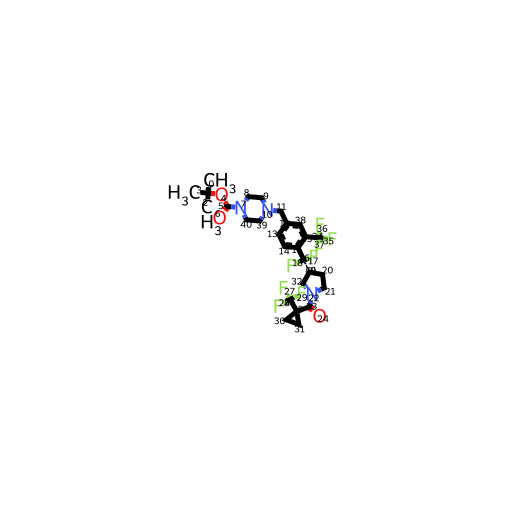 CC(C)(C)OC(=O)N1CCN(Cc2ccc(C(F)(F)[C@@H]3CCN(C(=O)C4(C(F)(F)F)CC4)C3)c(C(F)(F)F)c2)CC1